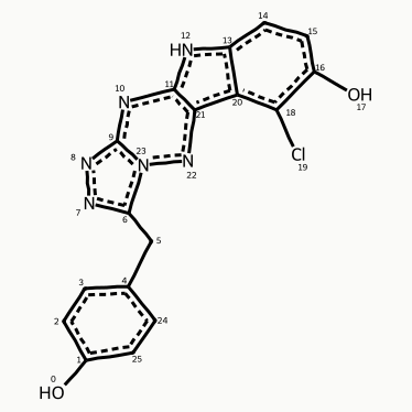 Oc1ccc(Cc2nnc3nc4[nH]c5ccc(O)c(Cl)c5c4nn23)cc1